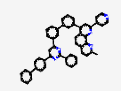 Cc1ccc2ccc3c(-c4cccc(-c5cccc(-c6cc(-c7ccc(-c8ccccc8)cc7)nc(-c7ccccc7)n6)c5)c4)cc(-c4ccncc4)nc3c2n1